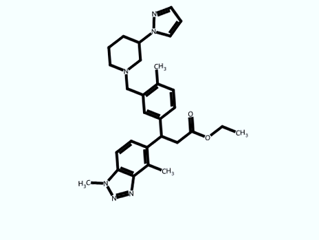 CCOC(=O)CC(c1ccc(C)c(CN2CCCC(n3cccn3)C2)c1)c1ccc2c(nnn2C)c1C